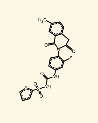 Cc1ccc2c(c1)C(=O)N(c1ccc(NC(=O)NS(=O)(=O)c3cccs3)cc1F)C(=O)C2